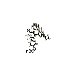 CCCCOc1ccc([C@]2(C)CC(c3cnn(C4CCC4)c3)=C(c3nnn[nH]3)C(=O)N2)cc1